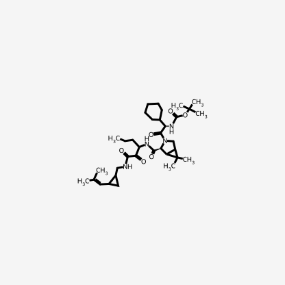 CCCC(NC(=O)[C@@H]1C2C(CN1C(=O)[C@@H](NC(=O)OC(C)(C)C)C1CCCCC1)C2(C)C)C(=O)C(=O)NCC1CC1C=C(C)C